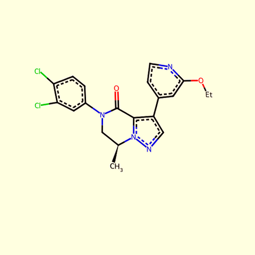 CCOc1cc(-c2cnn3c2C(=O)N(c2ccc(Cl)c(Cl)c2)C[C@@H]3C)ccn1